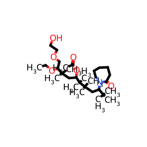 CCOC(COCCO)C(C)(C)CC(OC(C)=O)C(C)(C)C(C)(C)CC(N1CCCCCC1=O)C(C)(C)C